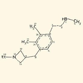 CBCCc1ccc(CC2CN(CC)C2)c(C)c1C